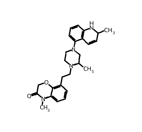 CC1C=Cc2c(cccc2N2CCN(CCc3cccc4c3OCC(=O)N4C)C(C)C2)N1